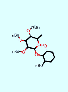 CCCCOC1C(OCCCC)[C@H](OCCCC)C(C)O[C@H]1OC1C(CCCC)CCC[C@H]1O